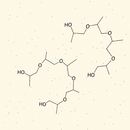 CC(O)COC(C)COC(C)COC(C)CO.CC(O)COC(C)COC(C)COC(C)COC(C)CO